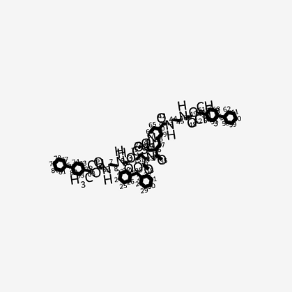 CC(C)(OC(=O)NCCNC(=O)OC[C@@]1(C)[C@H](C(=O)OC(c2ccccc2)c2ccccc2)N2C(=O)/C(=C/c3cc(C(=O)NCCNC(=O)OC(C)(C)c4ccc(-c5ccccc5)cc4)ccn3)[C@H]2S1(=O)=O)c1ccc(-c2ccccc2)cc1